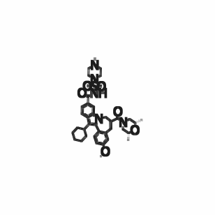 COc1ccc2c(c1)C=C(C(=O)N1C[C@@H](C)O[C@@H](C)C1)Cn1c-2c(C2CCCCC2)c2ccc(C(=O)NS(=O)(=O)N3CCN(C)CC3)cc21